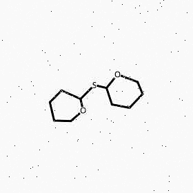 C1CCC(SC2CCCCO2)OC1